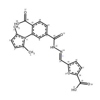 Cc1ccc(C)n1-c1cc(C(=O)N/N=C/c2ccc(C(=O)O)o2)ccc1C(=O)O